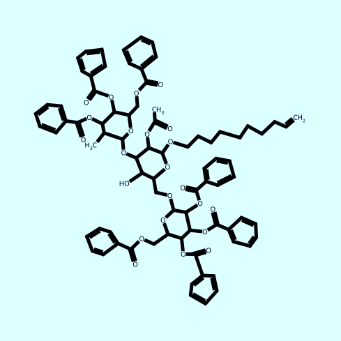 C=CCCCCCCCCOC1OC(COC2OC(COC(=O)c3ccccc3)C(OC(=O)c3ccccc3)C(OC(=O)c3ccccc3)C2OC(=O)c2ccccc2)C(O)C(OC2OC(COC(=O)c3ccccc3)C(OC(=O)c3ccccc3)C(OC(=O)c3ccccc3)C2C)C1OC(C)=O